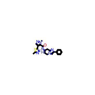 Cc1nnc(-c2cnn(C)c2C(=O)NC2CCn3cc(-c4ccccc4)nc3C2)s1